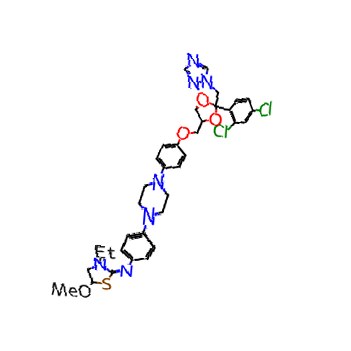 CCN1CC(OC)SC1=Nc1ccc(N2CCN(c3ccc(OCC4COC(Cn5cncn5)(c5ccc(Cl)cc5Cl)O4)cc3)CC2)cc1